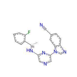 C[C@H](Nc1cncc(-n2cnc3ccc(C#N)cc32)n1)c1ccccc1F